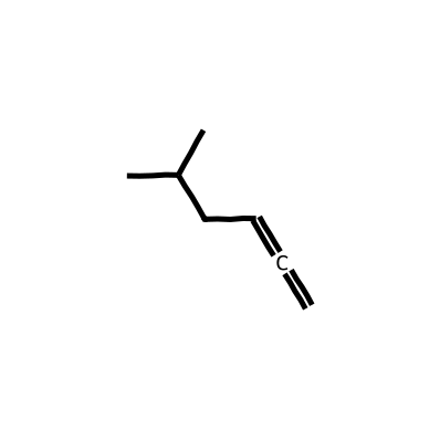 C=C=CCC(C)C